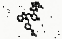 COc1cccc(Cn2c(CN3CCNCC3C(=O)OC(C)(C)C)nc3ccccc32)c1